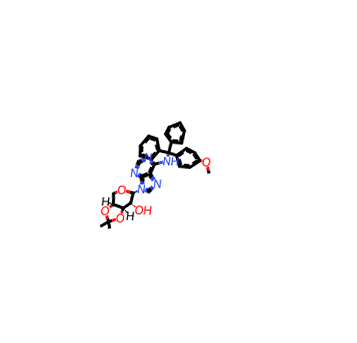 COc1ccc(C(Nc2ncnc3c2ncn3[C@@H]2OC[C@@H]3OC(C)(C)O[C@@H]3[C@H]2O)(c2ccccc2)c2ccccc2)cc1